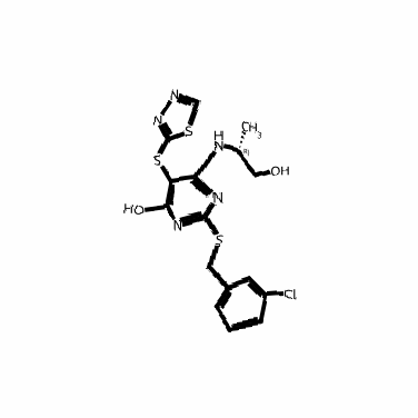 C[C@H](CO)Nc1nc(SCc2cccc(Cl)c2)nc(O)c1Sc1nncs1